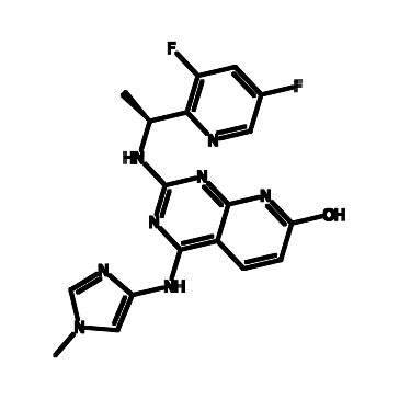 C[C@H](Nc1nc(Nc2cn(C)cn2)c2ccc(O)nc2n1)c1ncc(F)cc1F